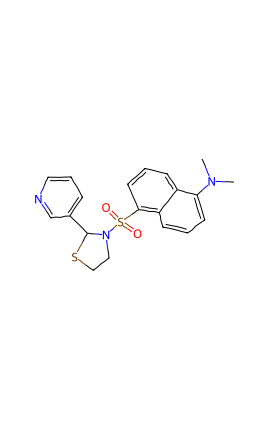 CN(C)c1cccc2c(S(=O)(=O)N3CCSC3c3cccnc3)cccc12